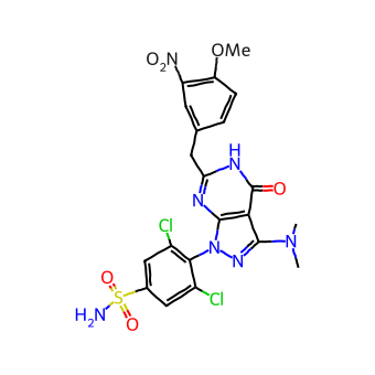 COc1ccc(Cc2nc3c(c(N(C)C)nn3-c3c(Cl)cc(S(N)(=O)=O)cc3Cl)c(=O)[nH]2)cc1[N+](=O)[O-]